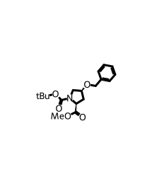 COC(=O)[C@@H]1C[C@H](OCc2ccccc2)CN1C(=O)OC(C)(C)C